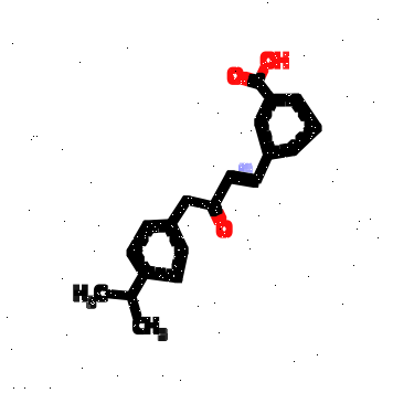 CC(C)c1ccc(CC(=O)/C=C/c2cccc(C(=O)O)c2)cc1